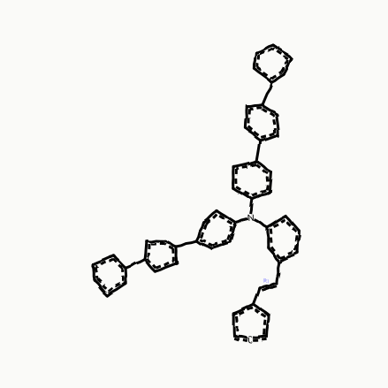 C(=C\c1cccc(N(c2ccc(-c3ccc(-c4ccccc4)cc3)cc2)c2ccc(-c3ccc(-c4ccccc4)cc3)cc2)c1)/c1ccccc1